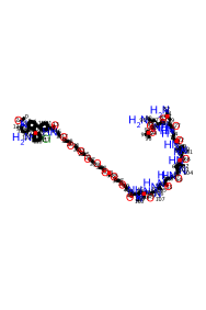 CC(=O)N1c2ccc(-c3ccc(C(=O)NCCOCCOCCOCCOCCOCCOCCOCCOCCNC(=O)c4cc(NC(=O)c5nc(NC(=O)CCNC(=O)c6cc(NC(=O)c7nc(NC(=O)CCNC(=O)[C@H](CCCN)NC(=O)[C@H](CCCN)NC(=O)OC(C)(C)C)cn7C)cn6C)cn5C)cn4C)cc3)c(-c3cc(Cl)ccc3N)c2CC[C@@H]1C